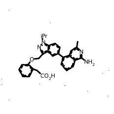 Cc1cc2c(-c3ccc4c(c3)c(COc3ccccc3CC(=O)O)nn4C(C)C)cccc2c(N)n1